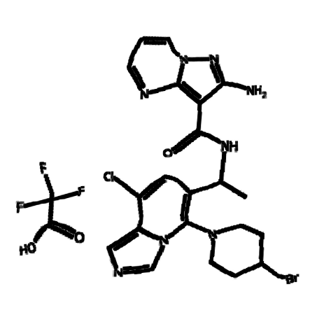 CC(NC(=O)c1c(N)nn2cccnc12)c1cc(Cl)c2cncn2c1N1CCC(Br)CC1.O=C(O)C(F)(F)F